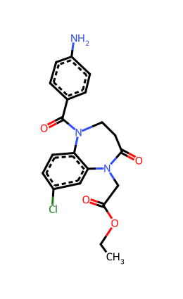 CCOC(=O)CN1C(=O)CCN(C(=O)c2ccc(N)cc2)c2ccc(Cl)cc21